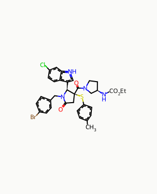 CCOC(=O)N[C@@H]1CCN(C(=O)[C@]2(Sc3ccc(C)cc3)CC(=O)N(Cc3ccc(Br)cc3)[C@H]2c2c[nH]c3cc(Cl)ccc23)C1